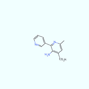 Cc1cc(C(=O)O)c(N)c(-c2cccnc2)n1